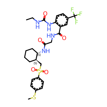 CCNC(=O)Nc1ccc(C(F)(F)F)cc1C(=O)NCC(=O)N[C@H]1CCCC[C@@H]1CS(=O)(=O)c1ccc(SC)cc1